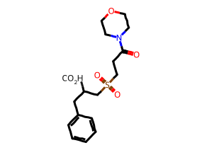 O=C(O)C(Cc1ccccc1)CS(=O)(=O)CCC(=O)N1CCOCC1